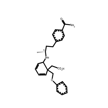 C[C@H](CCc1ccc(C(N)=O)cc1)NC1C=CC=CC1(COc1ccccc1)CC(=O)O